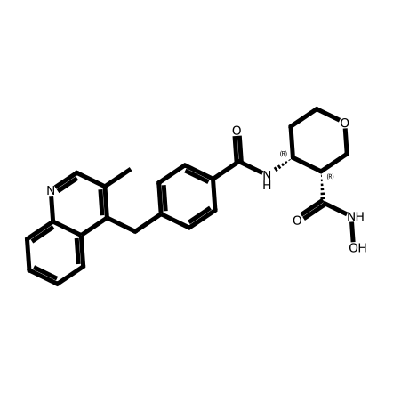 Cc1cnc2ccccc2c1Cc1ccc(C(=O)N[C@@H]2CCOC[C@@H]2C(=O)NO)cc1